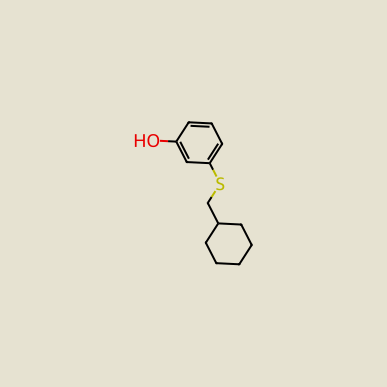 Oc1cccc(SCC2CCCCC2)c1